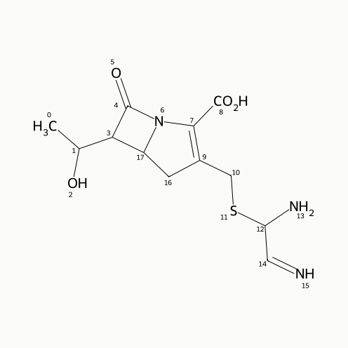 CC(O)C1C(=O)N2C(C(=O)O)=C(CSC(N)C=N)CC12